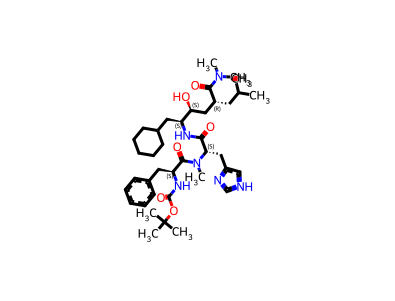 CC(C)C[C@H](C[C@H](O)[C@H](CC1CCCCC1)NC(=O)[C@H](Cc1c[nH]cn1)N(C)C(=O)[C@H](Cc1ccccc1)NC(=O)OC(C)(C)C)C(=O)N(C)C